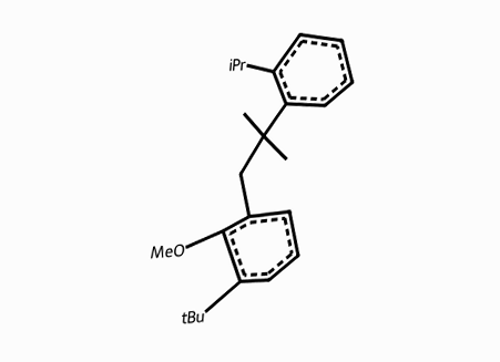 COc1c(CC(C)(C)c2ccccc2C(C)C)cccc1C(C)(C)C